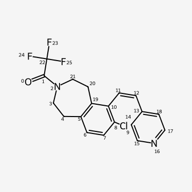 O=C(N1CCc2ccc(Cl)c(/C=C\c3ccncc3)c2CC1)C(F)(F)F